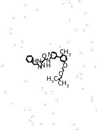 Cc1ccc(OCCOCC(C)C)cc1-c1ccnc(NC(=O)c2nnc(Cc3ccccc3)[nH]2)c1